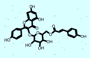 O=C(C=Cc1ccc(O)cc1)OCC1OC(Oc2c(-c3ccc(O)cc3)oc3cc(O)cc(O)c3c2=O)C(O)C(O)C1O